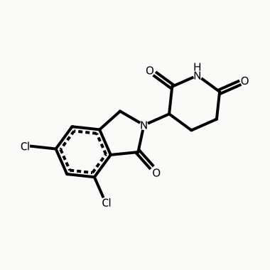 O=C1CCC(N2Cc3cc(Cl)cc(Cl)c3C2=O)C(=O)N1